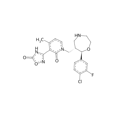 Cc1ccn(C[C@@H]2CNCCO[C@H]2c2ccc(Cl)c(F)c2)c(=O)c1-c1noc(=O)[nH]1